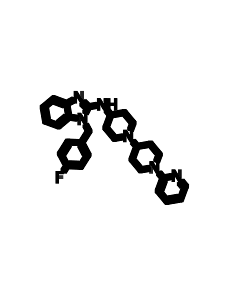 Fc1ccc(Cn2c(NC3CCN(C4CCN(c5ccccn5)CC4)CC3)nc3ccccc32)cc1